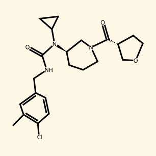 Cc1cc(CNC(=O)N(C2CC2)[C@@H]2CCCN(C(=O)[C@@H]3CCOC3)C2)ccc1Cl